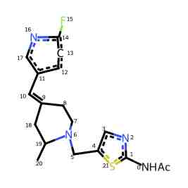 CC(=O)Nc1ncc(CN2CCC(=Cc3ccc(F)nc3)CC2C)s1